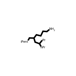 CCCC(C)CC(CCCCN)CC(CCC)C(C)C